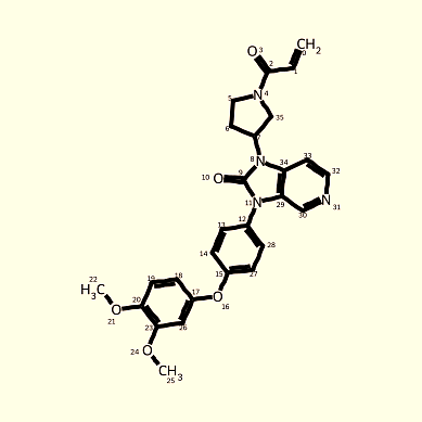 C=CC(=O)N1CCC(n2c(=O)n(-c3ccc(Oc4ccc(OC)c(OC)c4)cc3)c3cnccc32)C1